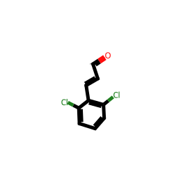 O=[C]/C=C/c1c(Cl)cccc1Cl